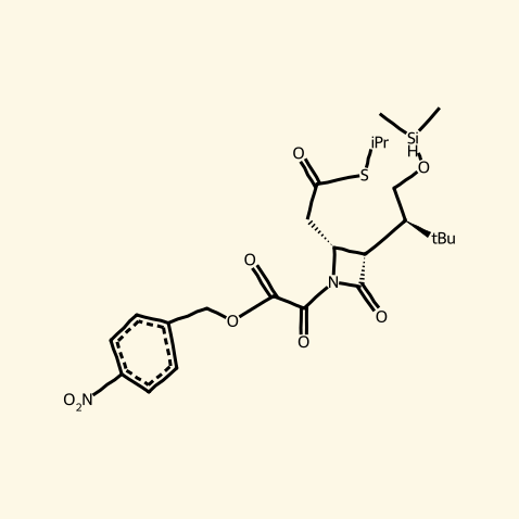 CC(C)SC(=O)C[C@@H]1[C@H]([C@@H](CO[SiH](C)C)C(C)(C)C)C(=O)N1C(=O)C(=O)OCc1ccc([N+](=O)[O-])cc1